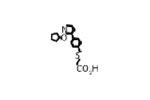 O=C(O)CCSCc1ccc(-c2cccnc2OC2CCCC2)cc1